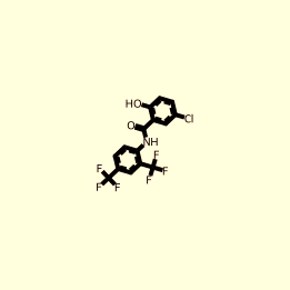 O=C(Nc1ccc(C(F)(F)F)cc1C(F)(F)F)c1cc(Cl)ccc1O